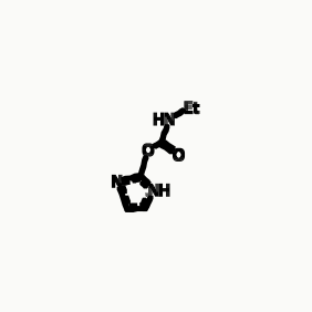 CCNC(=O)Oc1ncc[nH]1